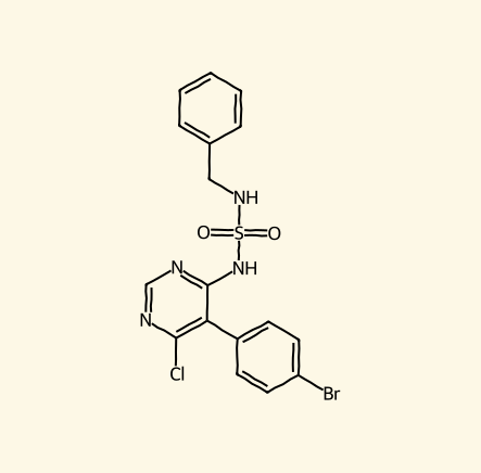 O=S(=O)(NCc1ccccc1)Nc1ncnc(Cl)c1-c1ccc(Br)cc1